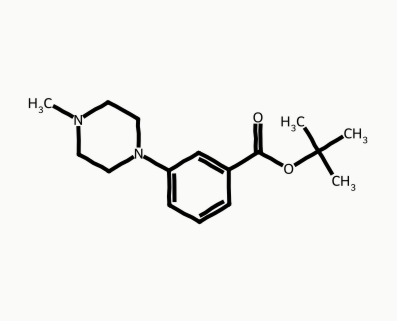 CN1CCN(c2cccc(C(=O)OC(C)(C)C)c2)CC1